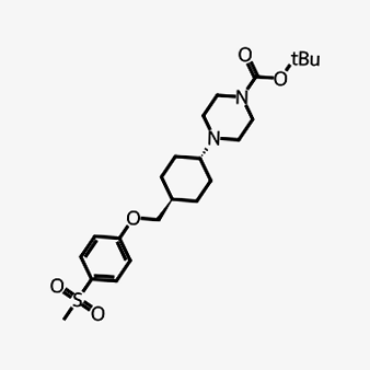 CC(C)(C)OC(=O)N1CCN([C@H]2CC[C@H](COc3ccc(S(C)(=O)=O)cc3)CC2)CC1